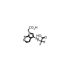 CC(=O)c1cn(CC(=O)O)c2nnccc12.O=C(O)C(F)(F)F